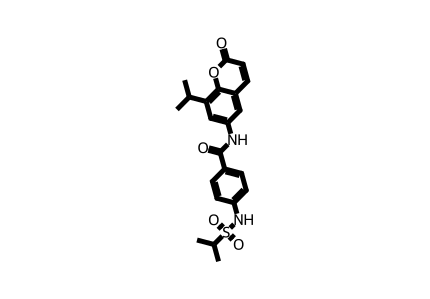 CC(C)c1cc(NC(=O)c2ccc(NS(=O)(=O)C(C)C)cc2)cc2ccc(=O)oc12